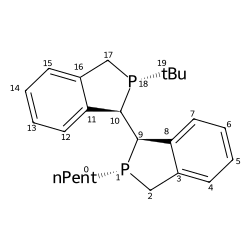 CCCCC[P@@]1Cc2ccccc2[C@@H]1[C@H]1c2ccccc2C[P@]1C(C)(C)C